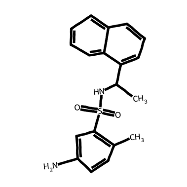 Cc1ccc(N)cc1S(=O)(=O)NC(C)c1cccc2ccccc12